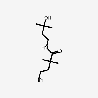 CC(C)CCC(C)(C)C(=O)NCCC(C)(C)O